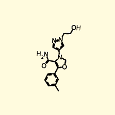 Cc1cccc(C2=C(C(N)=O)N(c3cnn(CCO)c3)CO2)c1